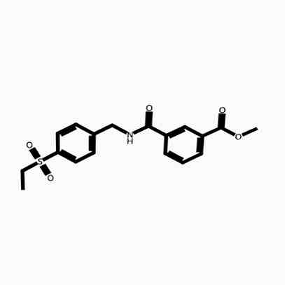 CCS(=O)(=O)c1ccc(CNC(=O)c2cccc(C(=O)OC)c2)cc1